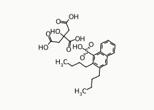 CCCCc1cc2ccccc2c(S(=O)(=O)O)c1CCCC.O=C(O)CC(O)(CC(=O)O)C(=O)O